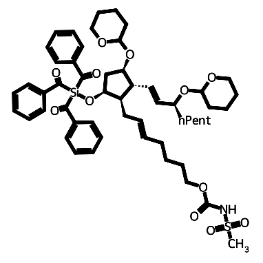 CCCCC[C@@H](C=C[C@@H]1[C@@H](CC=CCCCCOC(=O)NS(C)(=O)=O)[C@@H](O[Si](C(=O)c2ccccc2)(C(=O)c2ccccc2)C(=O)c2ccccc2)C[C@H]1OC1CCCCO1)OC1CCCCO1